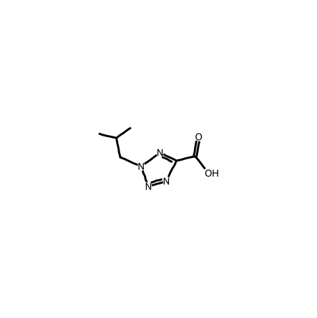 CC(C)Cn1nnc(C(=O)O)n1